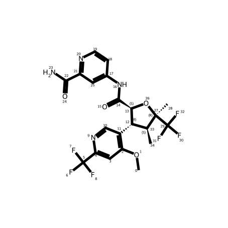 COc1cc(C(F)(F)F)ncc1[C@@H]1[C@@H](C(=O)Nc2ccnc(C(N)=O)c2)O[C@@](C)(C(F)(F)F)[C@H]1C